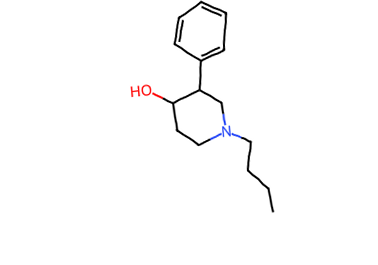 CCCCN1CCC(O)C(c2ccccc2)C1